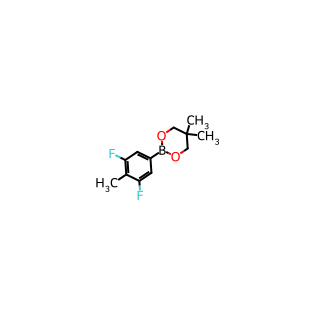 Cc1c(F)cc(B2OCC(C)(C)CO2)cc1F